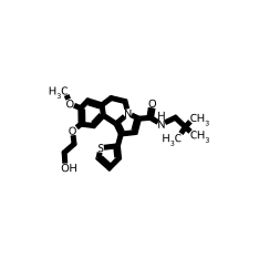 COc1cc2c(cc1OCCO)-c1c(-c3cccs3)cc(C(=O)NCC(C)(C)C)n1CC2